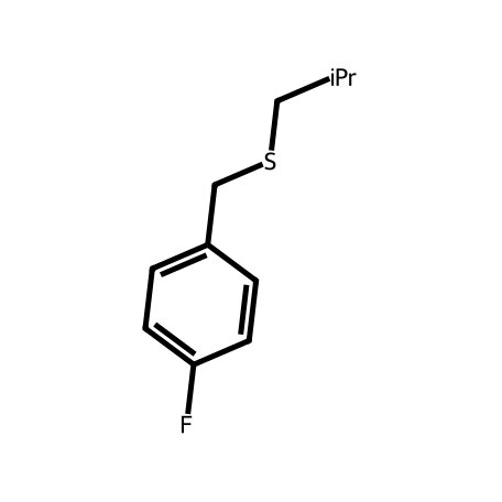 CC(C)CSCc1ccc(F)cc1